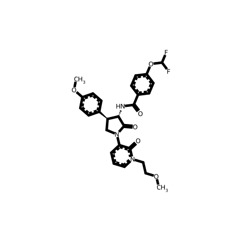 COCCn1cccc(N2C[C@@H](c3ccc(OC)cc3)[C@H](NC(=O)c3ccc(OC(F)F)cc3)C2=O)c1=O